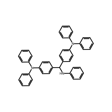 c1ccc(NC(c2ccc(N(c3ccccc3)c3ccccc3)cc2)c2ccc(N(c3ccccc3)c3ccccc3)cc2)cc1